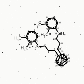 Cc1cccc([SiH2]CCC[C]23[CH]4[CH]5[CH]6[CH]2[Fe]56432789[CH]3[CH]2[CH]7[C]8(CCC[SiH2]c2cccc(C)c2C)[CH]39)c1C